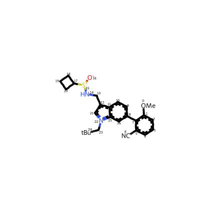 COc1cccc(C#N)c1-c1ccc2c(CN[S+]([O-])C3CCC3)cn(CC(C)(C)C)c2c1